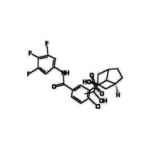 CC(O)[C@]1(O)CC2CC[C@@H](C1)C2S(=O)(=O)c1cc(C(=O)Nc2cc(F)c(F)c(F)c2)ccc1Cl